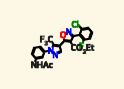 CCOC(=O)c1c(-c2c(F)cccc2Cl)noc1-c1cnn(-c2cccc(NC(C)=O)c2)c1C(F)(F)F